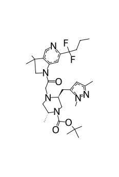 CCCC(F)(F)c1cc2c(cn1)C(C)(C)CN2C(=O)CN1C[C@@H](C)N(C(=O)OC(C)(C)C)C[C@@H]1Cc1cc(C)nn1C